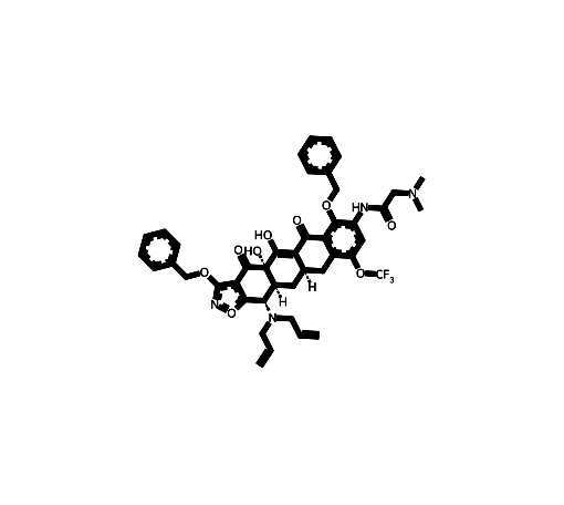 C=CCN(CC=C)[C@@H]1c2onc(OCc3ccccc3)c2C(=O)[C@@]2(O)C(O)=C3C(=O)c4c(c(OC(F)(F)F)cc(NC(=O)CN(C)C)c4OCc4ccccc4)C[C@H]3C[C@@H]12